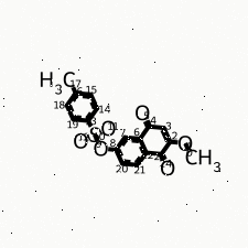 COC1=CC(=O)c2cc(OS(=O)(=O)c3ccc(C)cc3)ccc2C1=O